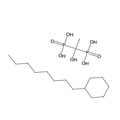 CC(O)(P(=O)(O)O)P(=O)(O)O.CCCCCCCCC1CCCCC1